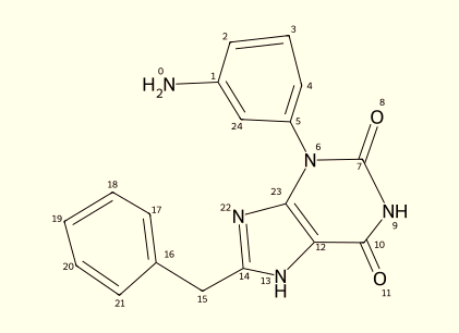 Nc1cccc(-n2c(=O)[nH]c(=O)c3[nH]c(Cc4ccccc4)nc32)c1